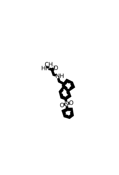 CNC(=O)CNCc1cccc2cc(S(=O)(=O)c3ccccc3)ccc12